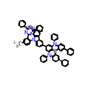 CC(C)(C)c1ccc2c3cc(-c4cc5c6c(c4)N(c4ccccc4)c4ccc(-c7ccccc7)cc4B6c4cc(-c6ccccc6)ccc4N5c4ccccc4)ccc3n(-c3ccc(C(F)(F)F)cc3-c3nc(-c4ccccc4)nc(-c4ccccc4)n3)c2c1